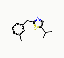 Cc1cccc(Cc2ncc(C(C)C)s2)c1